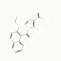 CCOc1ccc2ccccc2c1C(=O)n1cnc(C(N)=O)c1N